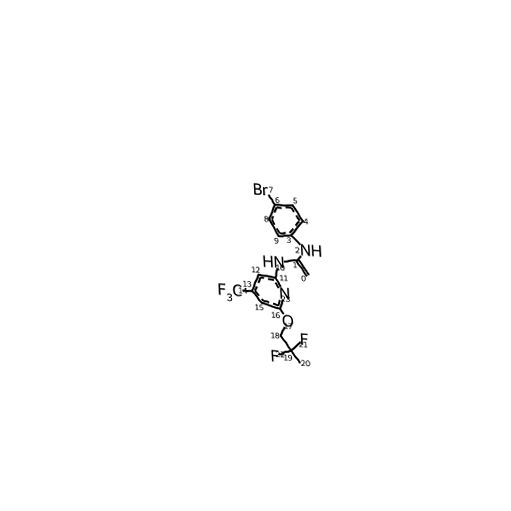 C=C(Nc1ccc(Br)cc1)Nc1cc(C(F)(F)F)cc(OCC(C)(F)F)n1